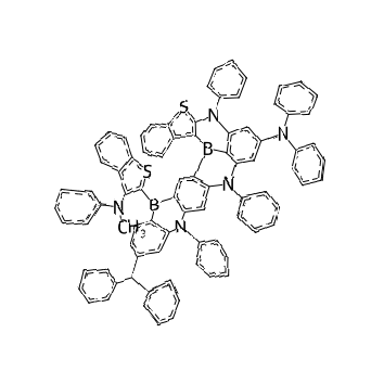 CN(c1ccccc1)c1c(B2c3ccc(C(c4ccccc4)c4ccccc4)cc3N(c3ccccc3)c3cc4c(cc32)B2c3c(cc(N(c5ccccc5)c5ccccc5)cc3N(c3ccccc3)c3sc5ccccc5c32)N4c2ccccc2)sc2ccccc12